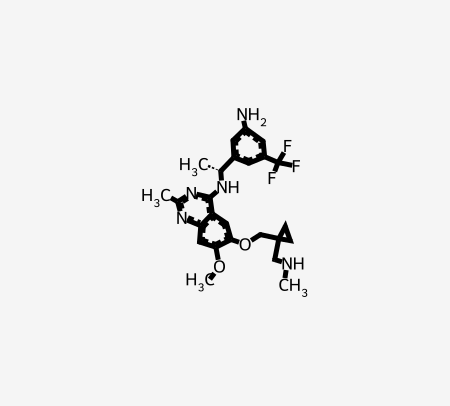 CNCC1(COc2cc3c(N[C@H](C)c4cc(N)cc(C(F)(F)F)c4)nc(C)nc3cc2OC)CC1